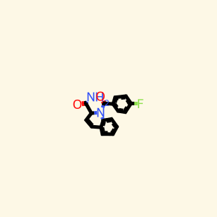 NC(=O)C1C=Cc2ccccc2N1C(=O)c1ccc(F)cc1